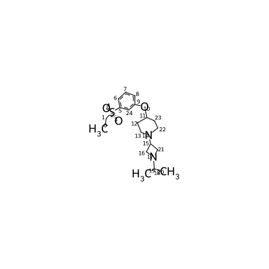 CCS(=O)(=O)c1cccc(OC2CCN(C3CN(C(C)C)C3)CC2)c1